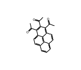 CC(=O)c1c(C(C)=O)c2ccc3cccc4ccc(c1C(C)=O)c2c34